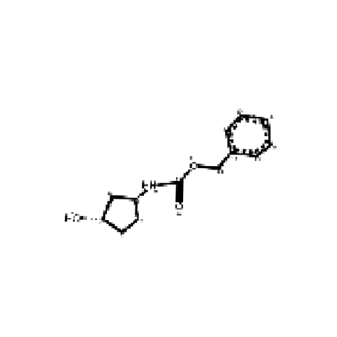 O=C(N[C@H]1CC[C@H](O)C1)OCc1ccccc1